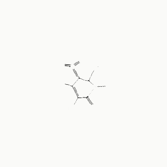 CCN1C(=O)C(C)=C(C)C(=S(=O)=O)C1O